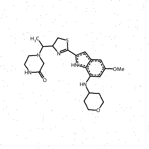 COc1cc(NC2CCOCC2)c2[nH]c(C3=NC(C(C)N4CCNC(=O)C4)CS3)cc2c1